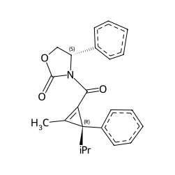 CC1=C(C(=O)N2C(=O)OC[C@@H]2c2ccccc2)[C@@]1(c1ccccc1)C(C)C